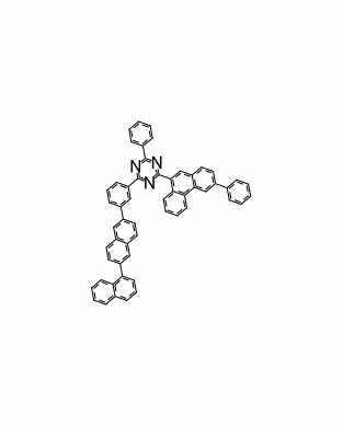 c1ccc(-c2ccc3cc(-c4nc(-c5ccccc5)nc(-c5cccc(-c6ccc7cc(-c8cccc9ccccc89)ccc7c6)c5)n4)c4ccccc4c3c2)cc1